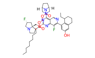 CCCCCCCCCC(=O)OCOC(=O)N1[C@@H]2CC[C@H]1CN(c1nc(OC[C@@]34CCCN3C[C@H](F)C4)nc3c(F)c(-c4cc(O)cc5c4C(CC)CCC5)ncc13)C2